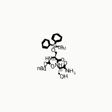 CCCCOC(=O)N[C@@H](CO[Si](c1ccccc1)(c1ccccc1)C(C)(C)C)C(=O)N[C@@H](CO)C(N)=O